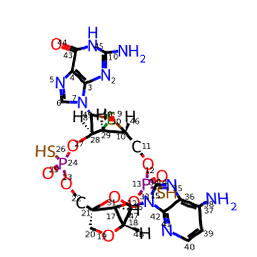 Nc1nc2c(ncn2[C@@H]2S[C@@H]3COP(=O)(S)O[C@H]4[C@H]5OC[C@]4(COP(=O)(S)O[C@@H]2[C@H]3F)O[C@H]5n2cnc3c(N)ccnc32)c(=O)[nH]1